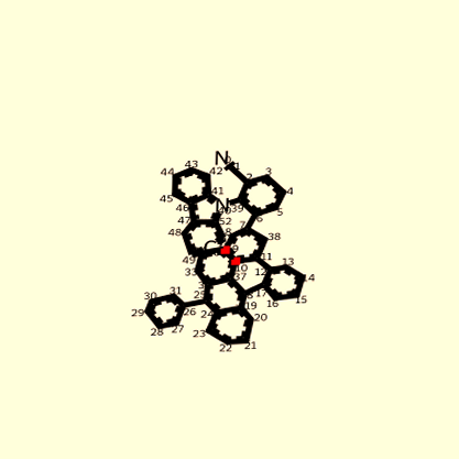 N#Cc1cccc(-c2cccc(-c3ccccc3-c3c4ccccc4c(-c4ccccc4)c4ccccc34)c2)c1-n1c2ccccc2c2ccccc21